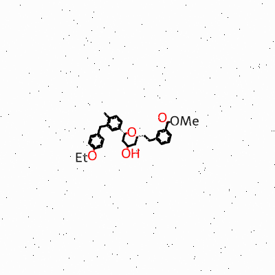 CCOc1ccc(Cc2cc([C@H]3CC(O)C[C@@H](CCc4cccc(C(=O)OC)c4)O3)ccc2C)cc1